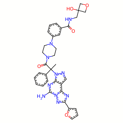 CC(C(=O)N1CCN(c2cccc(C(=O)NCC3(O)COC3)c2)CC1)(c1ccccc1)n1ncc2c1nc(N)n1nc(-c3ccco3)nc21